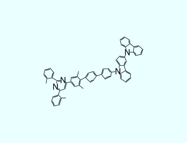 Cc1ccccc1-c1cc(-c2cc(C)c(-c3ccc(-c4ccc(-n5c6ccccc6c6cc(-n7c8ccccc8c8ccccc87)ccc65)cc4)cc3)c(C)c2)nc(-c2ccccc2C)n1